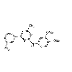 COc1ccc(Nc2nc(C)cc(-c3cccc(N)c3)n2)cc1OC